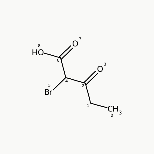 CCC(=O)C(Br)C(=O)O